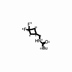 CCC(C)C(=O)NCC1CC(F)(F)C1